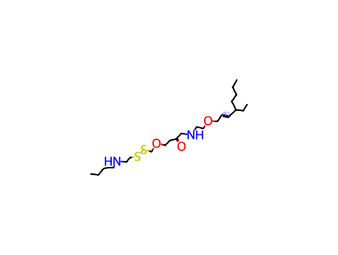 CCCCNCCSSCOCCC(=O)CNCCOC/C=C/C(CC)CCCC